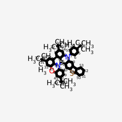 CC(C)(C)c1ccc(N2c3cc4c(cc3B3c5c(cc(C(C)(C)C)cc52)-c2cc(C(C)(C)C)cc5c2N3c2ccc(C(C)(C)C)cc2O5)sc2ccccc24)cc1